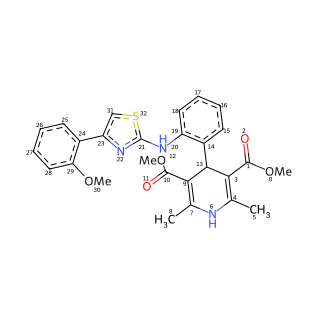 COC(=O)C1=C(C)NC(C)=C(C(=O)OC)C1c1ccccc1Nc1nc(-c2ccccc2OC)cs1